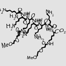 COCCOCCC(=O)NCCCCC(NC(=O)C(CCCCN)NC(=O)C(CCCCN)NC(=O)C(CCCCN)NC(=O)C(CCCCNC(=O)CCOCCOC)NC(=O)C(CCCCN)NC(=O)C(N)CCCCN)C(=O)O